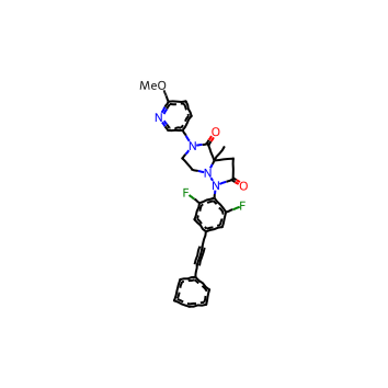 COc1ccc(N2CCN3N(c4c(F)cc(C#Cc5ccccc5)cc4F)C(=O)CC3(C)C2=O)cn1